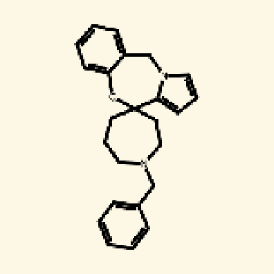 c1ccc(CN2CCCC3(CC2)Oc2ccccc2Cn2cccc23)cc1